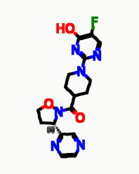 O=C(C1CCN(c2ncc(F)c(O)n2)CC1)N1OCC[C@H]1c1cnccn1